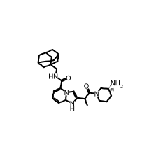 CC(C(=O)N1CCC[C@@H](N)C1)C1=CN2C(C(=O)NCC34CC5CC(CC(C5)C3)C4)=CC=CC2N1